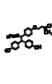 CCCCCC(=C(c1ccc(O)cc1)c1ccc(O)cc1)c1ccc(OCCN(C)C)cc1